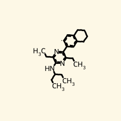 CCc1nc(-c2[c]cc3c(c2)CCCC3)c(CC)nc1NC(CC)CC